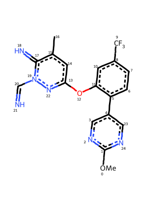 COc1ncc(-c2ccc(C(F)(F)F)cc2Oc2cc(C)c(=N)n(C=N)n2)cn1